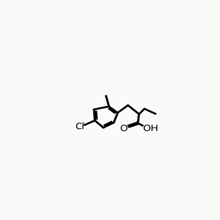 CCC(Cc1ccc(Cl)cc1C)C(=O)O